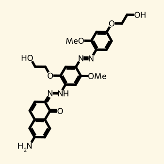 COc1cc(OCCO)ccc1/N=N/c1cc(OCCO)c(N/N=C2/C=Cc3cc(N)ccc3C2=O)cc1OC